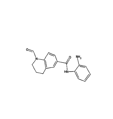 Nc1ccccc1NC(=O)c1ccc2c(c1)CCCN2C=O